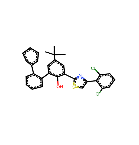 CC(C)(C)c1cc(-c2nc(-c3c(Cl)cccc3Cl)cs2)c(O)c(-c2ccccc2-c2ccccc2)c1